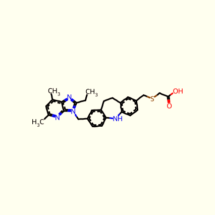 CCc1nc2c(C)cc(C)nc2n1Cc1ccc2c(c1)CCc1cc(CSCC(=O)O)ccc1N2